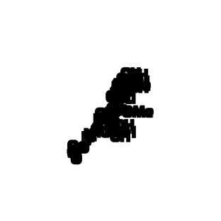 COc1ccc2c(OS(=O)(=O)Oc3cc(C(=O)N(C)CCOCCn4cc(CCOCCN5C(=O)C=CC5=O)nn4)ccc3O[C@@H]3O[C@H](CO)[C@H](O)[C@H](O)[C@H]3O)cc3c(c2c1)[C@H](CCl)CN3C(=O)c1cc2ccc(OC3O[C@H](CO)[C@H](O)[C@H](O)[C@H]3O)c(OC)c2[nH]1